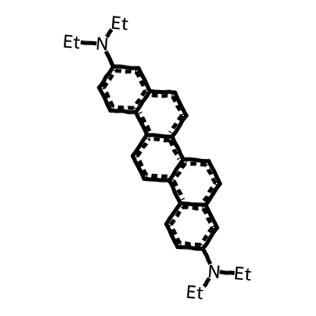 CCN(CC)c1ccc2c(ccc3c2ccc2c4ccc(N(CC)CC)cc4ccc23)c1